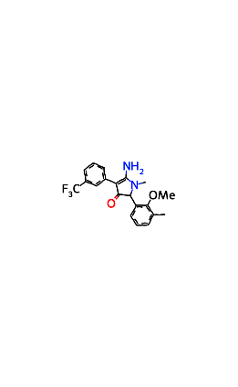 COc1c(C)cccc1C1C(=O)C(c2cccc(C(F)(F)F)c2)=C(N)N1C